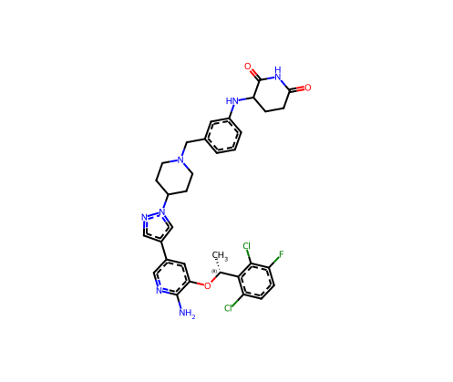 C[C@@H](Oc1cc(-c2cnn(C3CCN(Cc4cccc(NC5CCC(=O)NC5=O)c4)CC3)c2)cnc1N)c1c(Cl)ccc(F)c1Cl